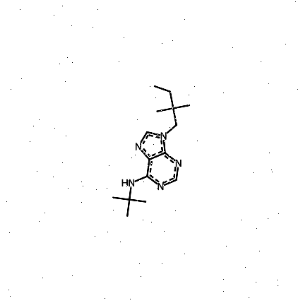 CCC(C)(C)Cn1cnc2c(NC(C)(C)C)ncnc21